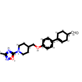 CC(C)c1noc(N2CCC(COc3ccc(C4=CCC(C=O)CC4)cc3)CC2)n1